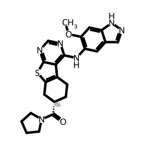 COc1cc2[nH]ncc2cc1Nc1ncnc2sc3c(c12)CC[C@H](C(=O)N1CCCC1)C3